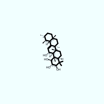 C[C@H]1[C@H](C)CC[C@]2(C)CC[C@]3(C)C(=C[C@@H](O)[C@@H]4[C@@]5(C)[C@H](O)[C@@H](O)[C@H](O)C(C)(C)[C@@H]5CC[C@]43C)[C@H]12